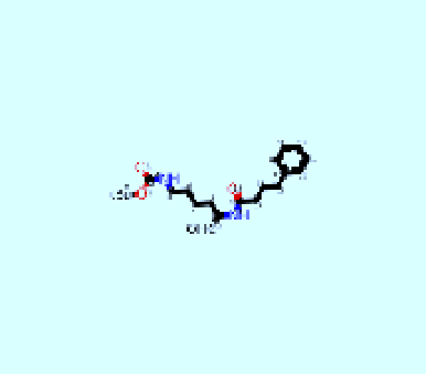 CC(C)(C)OC(=O)NCCCCC(C=O)NC(=O)CCCc1ccccc1